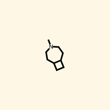 CN1CCC2CCC2CC1